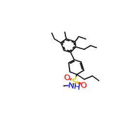 CCCc1c(C2=CCC(CCC)(S(=O)(=O)NC)C=C2)cc(CC)c(C)c1CC